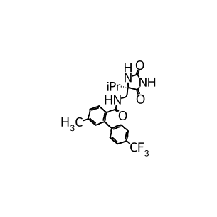 Cc1ccc(C(=O)NC[C@@]2(C(C)C)NC(=O)NC2=O)c(-c2ccc(C(F)(F)F)cc2)c1